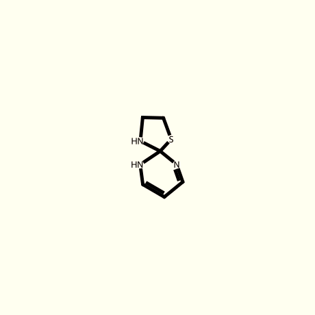 C1=CNC2(N=C1)NCCS2